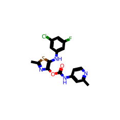 Cc1cc(NC(=O)Oc2nc(C)sc2Nc2cc(F)cc(Cl)c2)ccn1